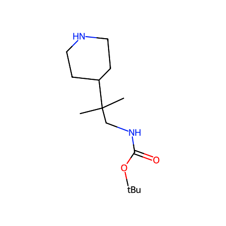 CC(C)(C)OC(=O)NCC(C)(C)C1CCNCC1